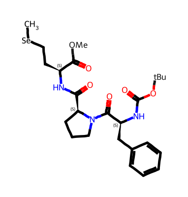 COC(=O)[C@H](CC[Se]C)NC(=O)[C@@H]1CCCN1C(=O)[C@H](Cc1ccccc1)NC(=O)OC(C)(C)C